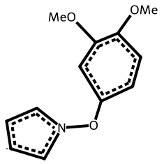 COc1ccc(On2c[c]cc2)cc1OC